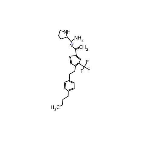 C=C(/N=C(\N)C1CCCN1)c1ccc(CCc2ccc(CCCC)cc2)c(C(F)(F)F)c1